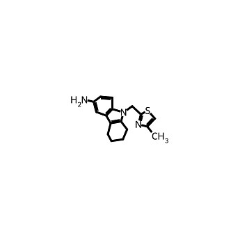 Cc1csc(Cn2c3c(c4cc(N)ccc42)CCCC3)n1